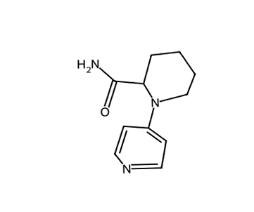 NC(=O)C1CCCCN1c1ccncc1